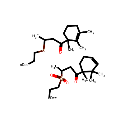 CCCCCCCCCCCCS(=O)(=O)C(C)CC(=O)C1(C)CCC=CC1(C)C.CCCCCCCCCCCCSC(C)CC(=O)C1(C)CCCC(C)=C1C